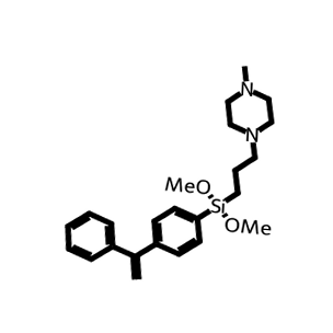 C=C(c1ccccc1)c1ccc([Si](CCCN2CCN(C)CC2)(OC)OC)cc1